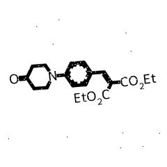 CCOC(=O)C(=Cc1ccc(N2CCC(=O)CC2)cc1)C(=O)OCC